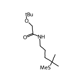 CSC(C)(C)CCCNC(=O)COC(C)(C)C